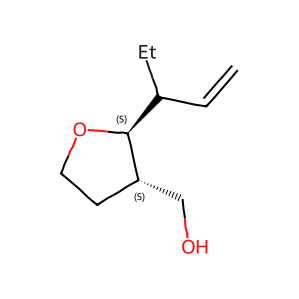 C=CC(CC)[C@@H]1OCC[C@H]1CO